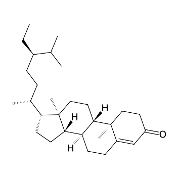 CC[C@H](CC[C@@H](C)[C@H]1CC[C@H]2[C@@H]3CCC4=CC(=O)CC[C@]4(C)[C@H]3CC[C@]12C)C(C)C